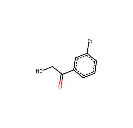 CCc1cccc(C(=O)CC#N)c1